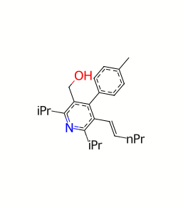 CCC/C=C/c1c(C(C)C)nc(C(C)C)c(CO)c1-c1ccc(C)cc1